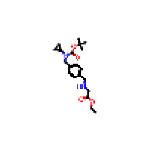 CCOC(=O)CNCc1ccc(CN(C(=O)OC(C)(C)C)C2CC2)cc1